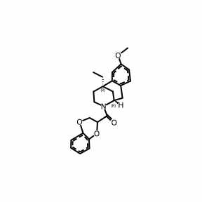 CC[C@]12CCN(C(=O)C3COc4ccccc4O3)[C@@H](Cc3ccc(OC)cc31)C2